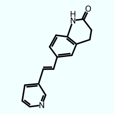 O=C1CCc2cc(/C=C/c3cccnc3)ccc2N1